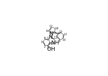 Oc1cccc2nc(-c3ccccc3C3=NC=CC3)[nH]c12